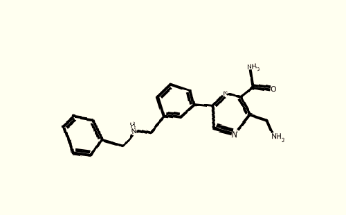 NCc1ncc(-c2cccc(CNCc3ccccc3)c2)nc1C(N)=O